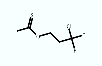 CC(=S)OCCC(F)(F)Cl